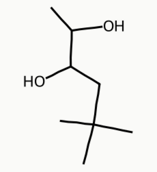 CC(O)C(O)CC(C)(C)C